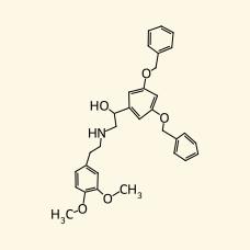 COc1ccc(CCNCC(O)c2cc(OCc3ccccc3)cc(OCc3ccccc3)c2)cc1OC